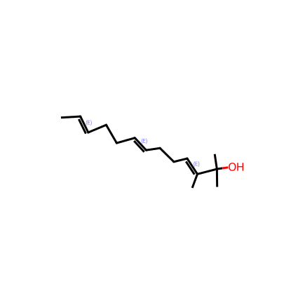 C/C=C/CC/C=C/CC/C=C(\C)C(C)(C)O